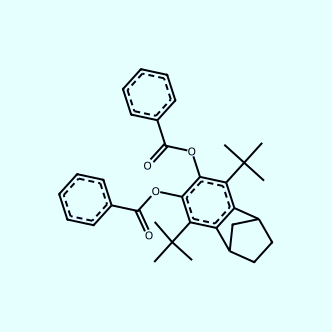 CC(C)(C)c1c(OC(=O)c2ccccc2)c(OC(=O)c2ccccc2)c(C(C)(C)C)c2c1C1CCC2C1